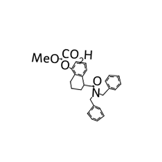 COC(Oc1cccc2c1CCCC2C(=O)N(Cc1ccccc1)Cc1ccccc1)C(=O)O